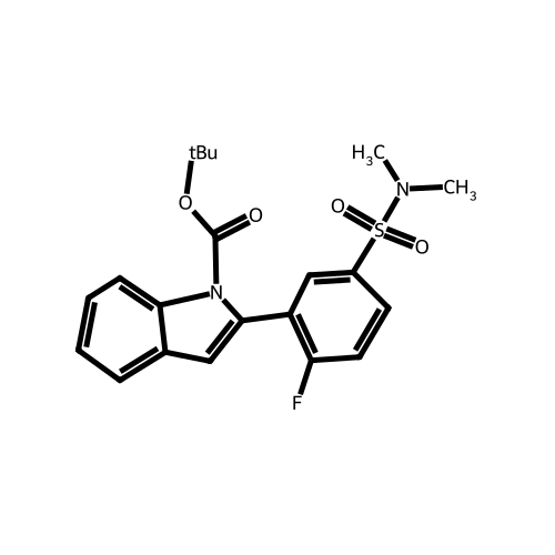 CN(C)S(=O)(=O)c1ccc(F)c(-c2cc3ccccc3n2C(=O)OC(C)(C)C)c1